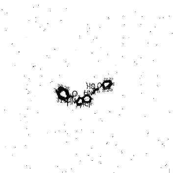 Cl.O=C(Nc1ccc2c(c1)CC(NC[C@H](O)COc1ccccc1)CCC2)c1ccccc1